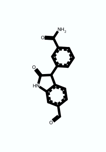 NC(=O)c1cccc(C2C(=O)Nc3cc(C=O)ccc32)c1